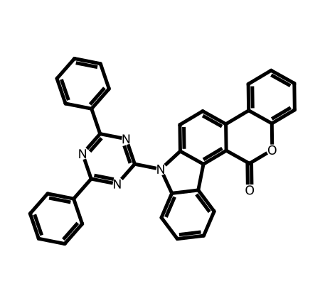 O=c1oc2ccccc2c2ccc3c(c4ccccc4n3-c3nc(-c4ccccc4)nc(-c4ccccc4)n3)c12